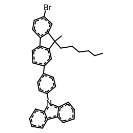 CCCCCCC1(C)c2cc(Br)ccc2-c2ccc(-c3ccc(-n4c5ccccc5c5ccccc54)cc3)cc21